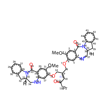 COc1cc2c(cc1OC/C(=C/C(=O)C(C)C)COc1cc3c(cc1OC)C(=O)N1c4ccccc4C[C@H]1CN3)N=C[C@@H]1Cc3ccccc3N1C2=O